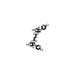 O=C(/C=C/C(=O)O[C@@]12CNC[C@H]1N(c1ccc(Cl)nc1)C2)O[C@@]12CNC[C@H]1N(c1ccc(Cl)nc1)C2